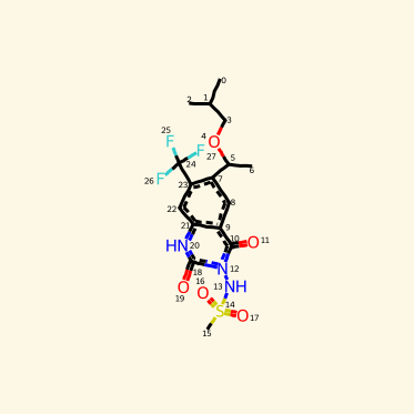 CC(C)COC(C)c1cc2c(=O)n(NS(C)(=O)=O)c(=O)[nH]c2cc1C(F)(F)F